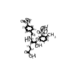 Cc1ccccc1S(=O)(=O)O.O=C(O)CC[C@H](NCc1ccc([N+](=O)[O-])cc1)C(=O)O